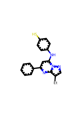 CCc1cnn2c(Nc3ccc(S)cc3)cc(-c3ccccc3)nc12